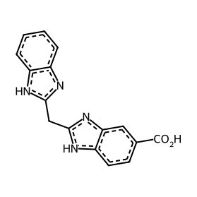 O=C(O)c1ccc2[nH]c(Cc3nc4ccccc4[nH]3)nc2c1